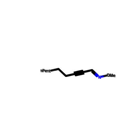 [CH2]CCCCCCC#CC=NOC